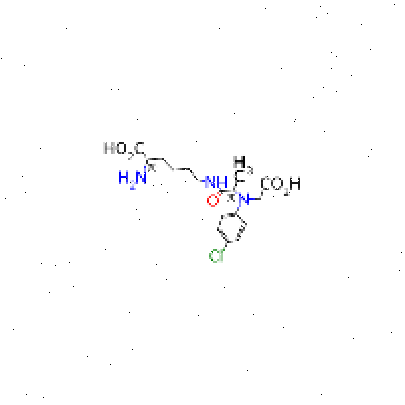 C[C@H](C(=O)NCCCC[C@H](N)C(=O)O)N(CC(=O)O)c1ccc(Cl)cc1